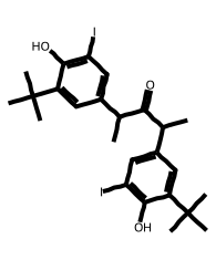 CC(C(=O)C(C)c1cc(I)c(O)c(C(C)(C)C)c1)c1cc(I)c(O)c(C(C)(C)C)c1